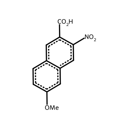 COc1ccc2cc(C(=O)O)c([N+](=O)[O-])cc2c1